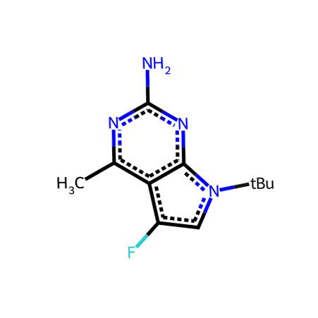 Cc1nc(N)nc2c1c(F)cn2C(C)(C)C